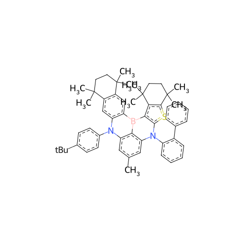 Cc1cc2c3c(c1)N(c1ccccc1-c1ccccc1)c1sc4c(c1B3c1cc3c(cc1N2c1ccc(C(C)(C)C)cc1)C(C)(C)CCC3(C)C)C(C)(C)CCC4(C)C